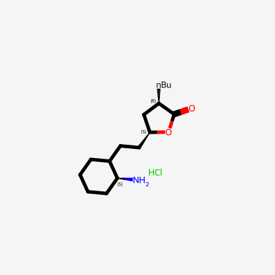 CCCC[C@@H]1C[C@H](CCC2CCCC[C@@H]2N)OC1=O.Cl